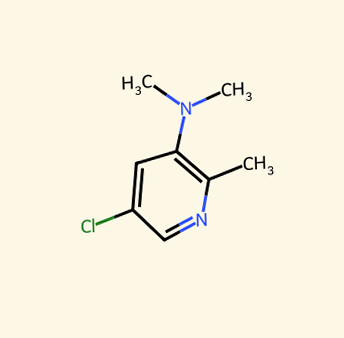 Cc1ncc(Cl)cc1N(C)C